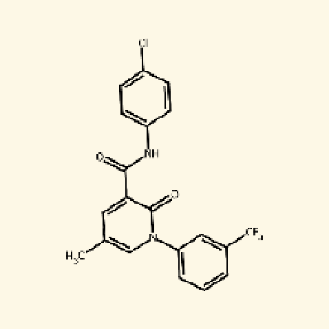 Cc1cc(C(=O)Nc2ccc(Cl)cc2)c(=O)n(-c2cccc(C(F)(F)F)c2)c1